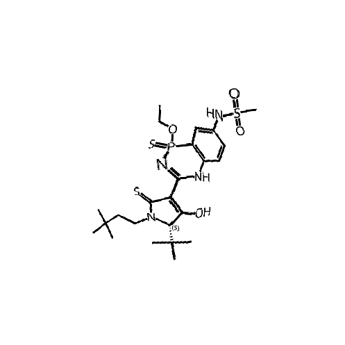 CCOP1(=S)N=C(C2=C(O)[C@H](C(C)(C)C)N(CCC(C)(C)C)C2=S)Nc2ccc(NS(C)(=O)=O)cc21